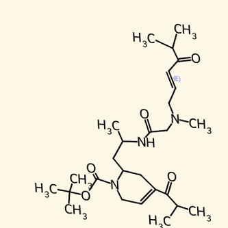 CC(CC1CC(C(=O)C(C)C)=CCN1C(=O)OC(C)(C)C)NC(=O)CN(C)C/C=C/C(=O)C(C)C